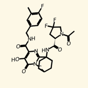 CC(=O)N1CC(F)(F)C[C@H]1C(=O)NC12CCC(CC1)Cn1c2nc(C(=O)NCc2ccc(F)c(C)c2)c(O)c1=O